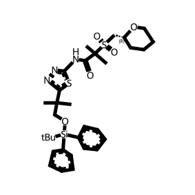 CC(C)(CO[Si](c1ccccc1)(c1ccccc1)C(C)(C)C)c1nnc(NC(=O)C(C)(C)S(=O)(=O)C[C@H]2CCCCO2)s1